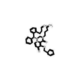 C=CCCCN1CN([C@@H](c2ccccc2)c2ccccc2CCC=C)n2ccc(=O)c(OCc3ccccc3)c2C1=O